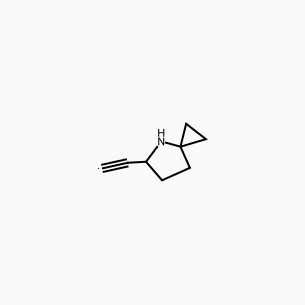 [C]#CC1CCC2(CC2)N1